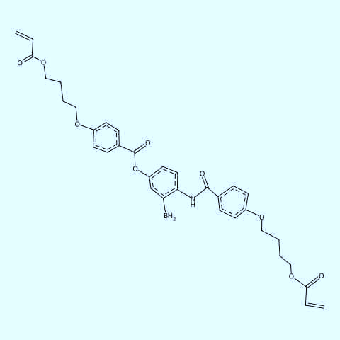 Bc1cc(OC(=O)c2ccc(OCCCCOC(=O)C=C)cc2)ccc1NC(=O)c1ccc(OCCCCOC(=O)C=C)cc1